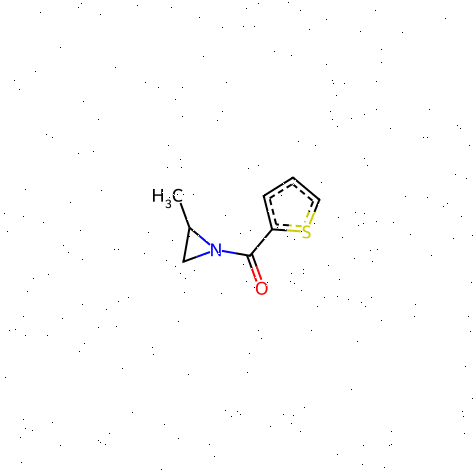 CC1CN1C(=O)c1cccs1